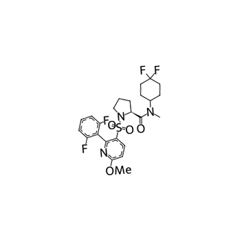 COc1ccc(S(=O)(=O)N2CCC[C@H]2C(=O)N(C)C2CCC(F)(F)CC2)c(-c2c(F)cccc2F)n1